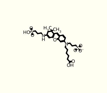 CC1(C)CC(NCCCS(=O)(=O)O)=Cc2[o+]c3cc(N(CCCCCC(=O)O)CCCS(=O)(=O)[O-])ccc3cc21